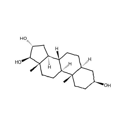 C[C@]12CC[C@H](O)C[C@@H]1CC[C@@H]1[C@@H]2CC[C@]2(C)[C@@H](O)[C@H](O)C[C@@H]12